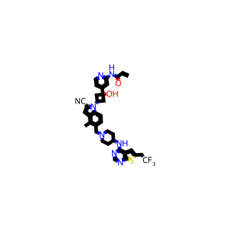 C=CC(=O)Nc1cc(C2(O)CC(n3c(C#N)cc4c(C)c(CN5CCC(Nc6ncnc7sc(CC(F)(F)F)cc67)CC5)ccc43)C2)ccn1